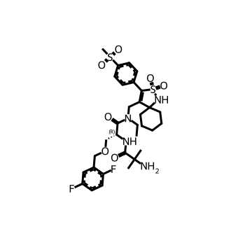 CCN(CC1=C(c2ccc(S(C)(=O)=O)cc2)S(=O)(=O)NC12CCCCC2)C(=O)[C@@H](COCc1cc(F)ccc1F)NC(=O)C(C)(C)N